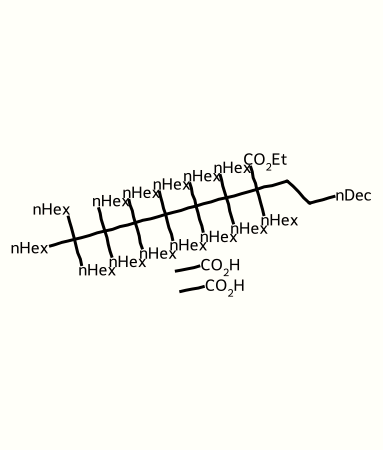 CC(=O)O.CC(=O)O.CCCCCCCCCCCCC(CCCCCC)(C(=O)OCC)C(CCCCCC)(CCCCCC)C(CCCCCC)(CCCCCC)C(CCCCCC)(CCCCCC)C(CCCCCC)(CCCCCC)C(CCCCCC)(CCCCCC)C(CCCCCC)(CCCCCC)CCCCCC